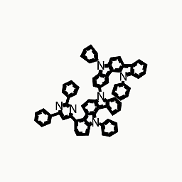 c1ccc(-c2cc(-c3cccc4c3c3ccc5c(c6ccccc6n5-c5ccc6c(c5)c5c(ccc7c8ccccc8n(-c8ccccc8)c75)n6-c5ccccc5)c3n4-c3ccccc3)nc(-c3ccccc3)n2)cc1